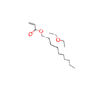 C=CC(=O)OCCCCCCCCCC.CCOCC